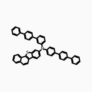 c1ccc(-c2ccc(-c3ccc(N(c4cccc(-c5ccc(-c6ccccc6)cc5)c4)c4ccc5c(c4)sc4c6ccccc6ccc54)cc3)cc2)cc1